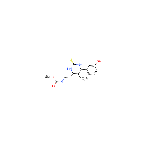 CCOC(=O)C1=C(CCNC(=O)OC(C)(C)C)NC(=S)NC1c1cccc(O)c1